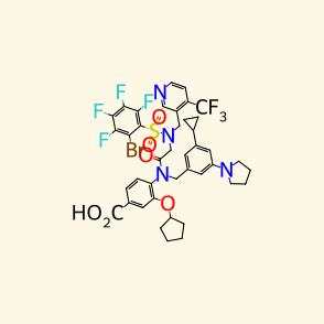 O=C(O)c1ccc(N(Cc2cc(C3CC3)cc(N3CCCC3)c2)C(=O)CN(Cc2cnccc2C(F)(F)F)S(=O)(=O)c2c(F)c(F)c(F)c(F)c2Br)c(OC2CCCC2)c1